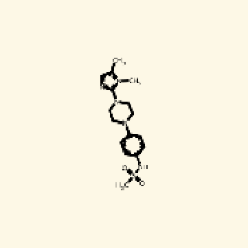 Cc1cnc(N2CCN(c3ccc(NS(C)(=O)=O)cc3)CC2)n1C